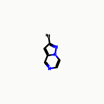 [2H]c1cc2cnccn2n1